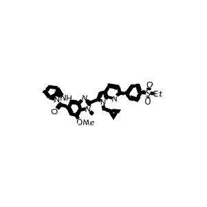 CCS(=O)(=O)c1ccc(-c2ccc3cc(-c4nc5cc(C(=O)N6CC7CCC6C7N)cc(OC)c5n4C)n(CC4CC4)c3n2)cc1